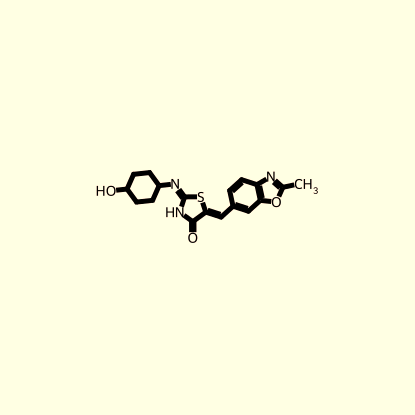 Cc1nc2ccc(/C=C3\S/C(=N/C4CCC(O)CC4)NC3=O)cc2o1